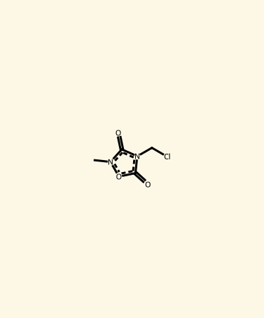 Cn1oc(=O)n(CCl)c1=O